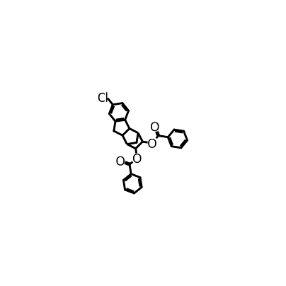 O=C(OC1C2CC(C1OC(=O)c1ccccc1)C1c3ccc(Cl)cc3CC21)c1ccccc1